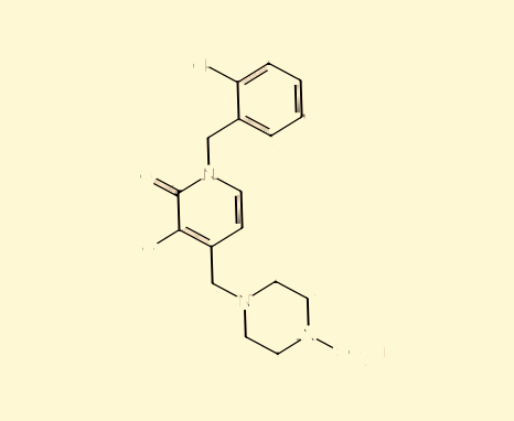 CCOC(=O)N1CCN(Cc2ccn(Cc3ccccc3Cl)c(=O)c2O)CC1